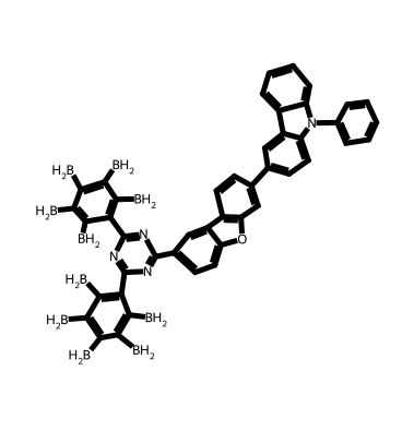 Bc1c(B)c(B)c(-c2nc(-c3ccc4oc5cc(-c6ccc7c(c6)c6ccccc6n7-c6ccccc6)ccc5c4c3)nc(-c3c(B)c(B)c(B)c(B)c3B)n2)c(B)c1B